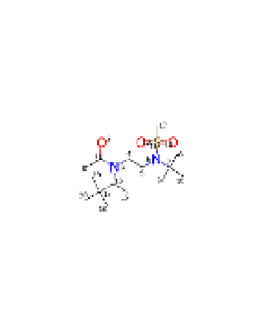 CC(=O)N(CCN(C(C)(C)C)S(C)(=O)=O)C(C)C(C)(C)C